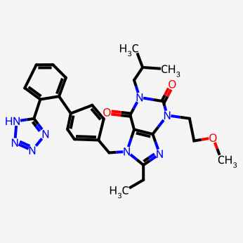 CCc1nc2c(c(=O)n(CC(C)C)c(=O)n2CCOC)n1Cc1ccc(-c2ccccc2-c2nnn[nH]2)cc1